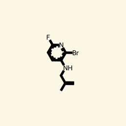 C=C(C)CNc1ccc(F)nc1Br